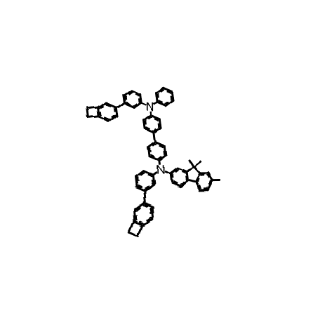 Cc1ccc2c(c1)C(C)(C)c1cc(N(c3ccc(-c4ccc(N(c5ccccc5)c5cccc(-c6ccc7c(c6)CC7)c5)cc4)cc3)c3cccc(-c4ccc5c(c4)CC5)c3)ccc1-2